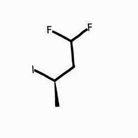 C[C@@H](I)CC(F)F